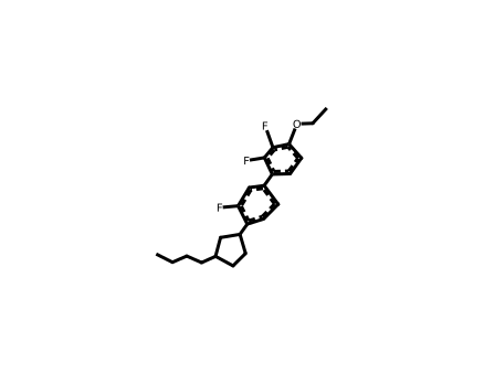 CCCCC1CCC(c2ccc(-c3ccc(OCC)c(F)c3F)cc2F)C1